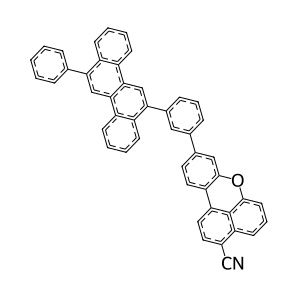 N#Cc1ccc2c3c(cccc13)Oc1cc(-c3cccc(-c4cc5c6ccccc6c(-c6ccccc6)cc5c5ccccc45)c3)ccc1-2